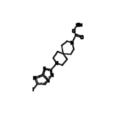 CC(C)(C)OC(=O)N1CCC2(CC1)CCN(c1nn3cc(I)nc3s1)CC2